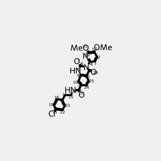 COc1ccc(-n2c(=O)[nH]c3cc(C(=O)NCCc4ccc(Cl)cc4)ccc3c2=O)nc1OC